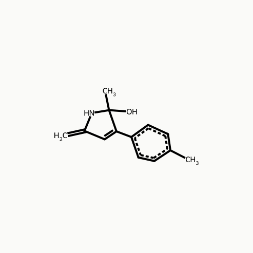 C=C1C=C(c2ccc(C)cc2)C(C)(O)N1